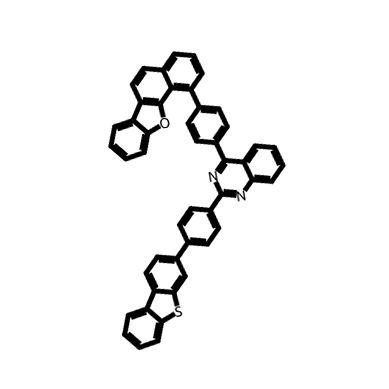 c1cc(-c2ccc(-c3nc(-c4ccc(-c5ccc6c(c5)sc5ccccc56)cc4)nc4ccccc34)cc2)c2c(c1)ccc1c3ccccc3oc12